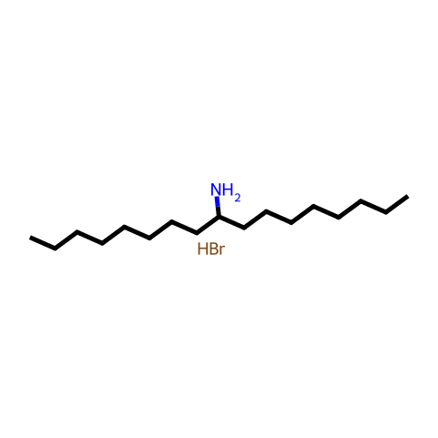 Br.CCCCCCCCC(N)CCCCCCCC